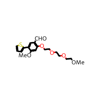 COCCOCCOCCOc1cc(OC)c(-c2cccs2)cc1C=O